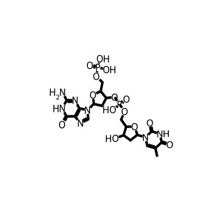 Cc1cn(C2CC(O)C(COP(=O)(O)OC3CC(n4cnc5c(=O)[nH]c(N)nc54)OC3COP(=O)(O)O)O2)c(=O)[nH]c1=O